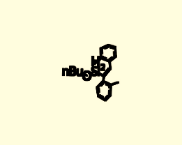 CCCCO[SiH2]C(=Cc1ccccc1C)c1ccccc1C